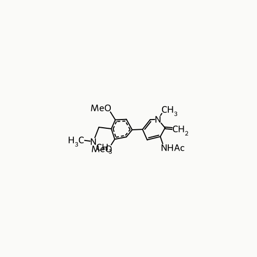 C=C1C(NC(C)=O)=CC(c2cc(OC)c(CN(C)C)c(OC)c2)=CN1C